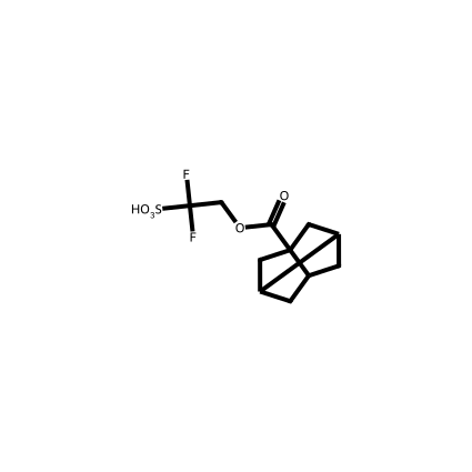 O=C(OCC(F)(F)S(=O)(=O)O)C12CC3CC1CC3C2